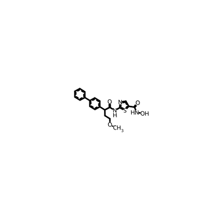 COCCC(C(=O)Nc1ncc(C(=O)NO)s1)c1ccc(-c2ccccc2)cc1